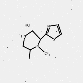 CC1CNCC(c2nccs2)N1C(F)(F)F.Cl